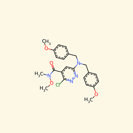 COc1ccc(CN(Cc2ccc(OC)cc2)c2cc(C(=O)N(C)OC)c(Cl)nn2)cc1